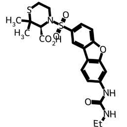 CCNC(=O)Nc1ccc2c(c1)oc1ccc(S(=O)(=O)N3CCSC(C)(C)[C@@H]3C(=O)O)cc12